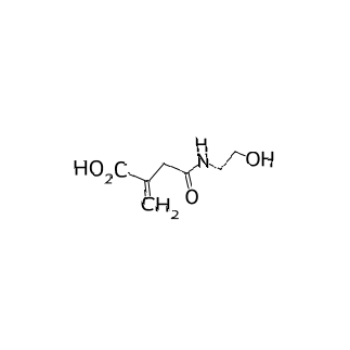 C=C(CC(=O)NCCO)C(=O)O